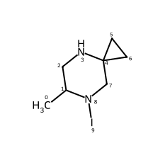 CC1CNC2(CC2)CN1I